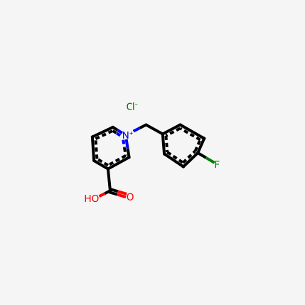 O=C(O)c1ccc[n+](Cc2ccc(F)cc2)c1.[Cl-]